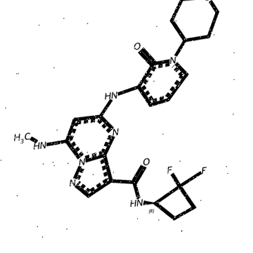 CNc1cc(Nc2cccn(C3CCOCC3)c2=O)nc2c(C(=O)N[C@@H]3CCC3(F)F)cnn12